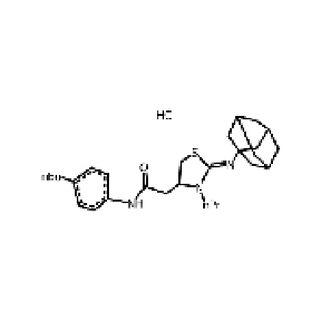 CCCCc1ccc(NC(=O)CC2CSC(=NC34CC5CC(CC(C5)C3)C4)N2CCC)cc1.Cl